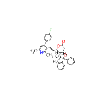 Cc1cc(-c2ccc(F)cc2)c(C=C[C@@H]2C[C@@H](O[Si](c3ccccc3)(c3ccccc3)C(C)(C)C)CC(=O)O2)c(C)n1